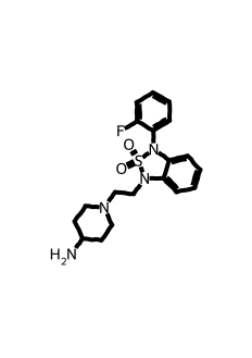 NC1CCN(CCN2c3ccccc3N(c3ccccc3F)S2(=O)=O)CC1